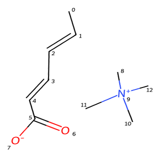 CC=CC=CC(=O)[O-].C[N+](C)(C)C